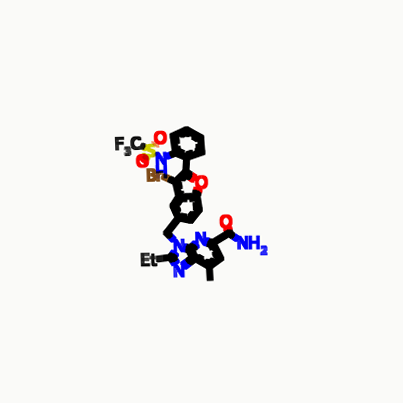 CCc1nc2c(C)cc(C(N)=O)nc2n1Cc1ccc2oc(-c3ccccc3NS(=O)(=O)C(F)(F)F)c(Br)c2c1